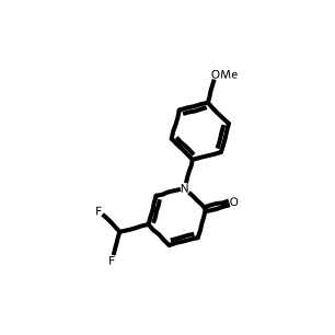 COc1ccc(-n2cc(C(F)F)ccc2=O)cc1